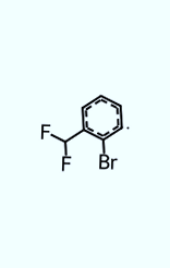 FC(F)c1ccc[c]c1Br